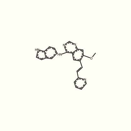 COc1cc2ncnc(Nc3ccc4[nH]ccc4c3)c2cc1C=Cc1ccccn1